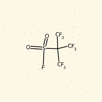 O=S(=O)(F)C(C(F)(F)F)(C(F)(F)F)C(F)(F)F